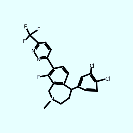 CN1CCC(c2ccc(Cl)c(Cl)c2)c2ccc(-c3ccc(C(F)(F)F)nn3)c(F)c2C1